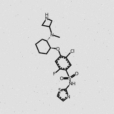 CN(C1CNC1)[C@H]1CCCC[C@@H]1Oc1cc(F)c(S(=O)(=O)Nc2nccs2)cc1Cl